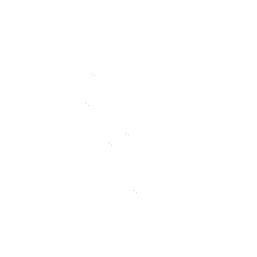 CCc1nc(-c2ccccc2)c(Oc2ccnc(Nc3ccc(NCCN4CCCC4)cc3)c2)s1